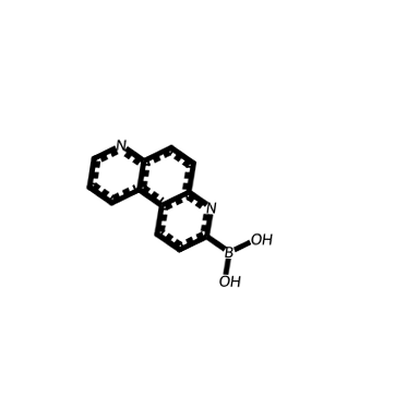 OB(O)c1ccc2c(ccc3ncccc32)n1